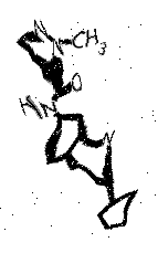 Cn1nccc1C(=O)Nc1ccc2cc(C3CCCCC3)cnc2c1